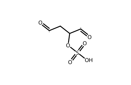 O=[C]CC([C]=O)OS(=O)(=O)O